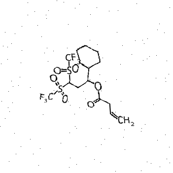 C=CCC(=O)OC(CC(S(=O)(=O)C(F)(F)F)S(=O)(=O)C(F)(F)F)C1CCCCC1